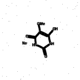 COc1c(O)[nH]c(=O)[nH]c1=O.[Na]